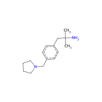 CC(C)(N)Cc1ccc(CN2CCCC2)cc1